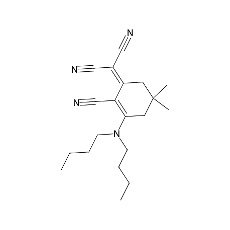 CCCCN(CCCC)C1=C(C#N)C(=C(C#N)C#N)CC(C)(C)C1